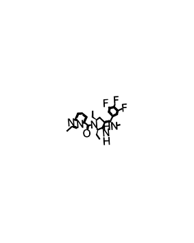 CC[C@H]1C/C(=C(/NC)c2cc(F)c(F)c(F)c2)C(=N)[C@@H](CC)N1C(=O)c1cccc2nc(C)cn12